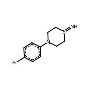 CC(C)c1ccc(N2CCS(=N)CC2)cc1